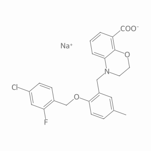 Cc1ccc(OCc2ccc(Cl)cc2F)c(CN2CCOc3c(C(=O)[O-])cccc32)c1.[Na+]